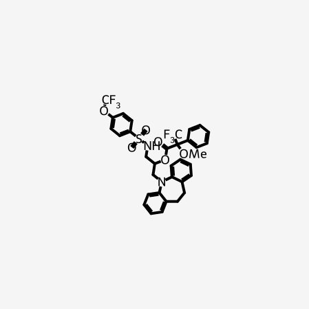 COC(C(=O)OC(CNS(=O)(=O)c1ccc(OC(F)(F)F)cc1)CN1c2ccccc2CCc2ccccc21)(c1ccccc1)C(F)(F)F